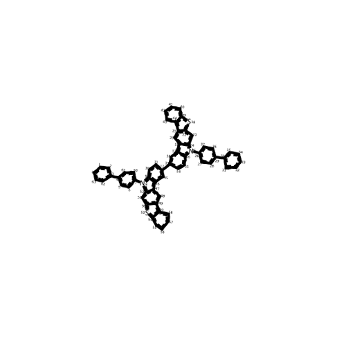 c1ccc(-c2ccc(-n3c4ccc(-c5ccc6c(c5)c5cc7c(cc5n6-c5ccc(-c6ccccc6)cc5)sc5ccccc57)cc4c4cc5c(cc43)sc3ccccc35)cc2)cc1